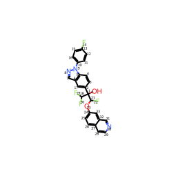 OC(c1ccc2c(cnn2-c2ccc(F)cc2)c1)(C(F)F)C(F)Oc1ccc2ccncc2c1